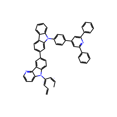 C=C/C=C(\C=C/C)n1c2ccc(-c3ccc4c5ccccc5n(-c5ccc(-c6cc(-c7ccccc7)nc(-c7ccccc7)c6)cc5)c4c3)cc2c2ncccc21